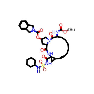 CC(C)(C)OC(=O)NC1CCCCCC=CC2CC2(C(=O)NS(=O)(=O)NC2CCCCC2)NC(=O)C2CC(OC(=O)N3Cc4ccccc4C3)CN2C1=O